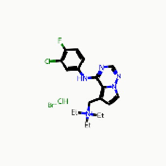 CC[N+](CC)(CC)Cc1ccn2ncnc(Nc3ccc(F)c(Cl)c3)c12.Cl.[Br-]